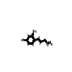 NCCCc1ccc(F)cc1F